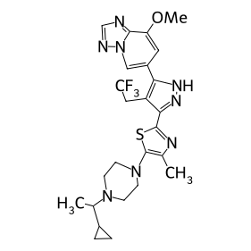 COc1cc(-c2[nH]nc(-c3nc(C)c(N4CCN(C(C)C5CC5)CC4)s3)c2CC(F)(F)F)cn2ncnc12